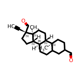 C#C[C@]1(C=O)CC[C@H]2[C@@H]3CCC4CC(C=O)CC[C@]4(C)[C@H]3CC[C@@]21C